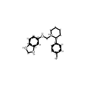 Fc1ccc(C2CCCCN2COc2ccc3c(c2)OCO3)cc1